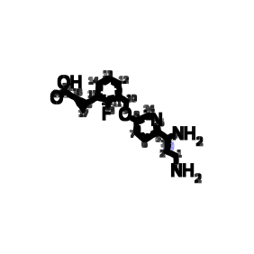 NC/C=C(\N)c1ccc(OCc2cccc(C3CC3C(=O)O)c2F)cn1